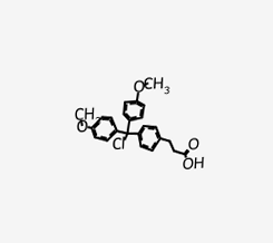 COc1ccc(C(Cl)(c2ccc(CCC(=O)O)cc2)c2ccc(OC)cc2)cc1